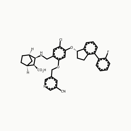 N#Cc1cncc(COc2cc(O[C@H]3CCc4c(-c5ccccc5F)cccc43)c(Cl)cc2CN[C@@H]2[C@@H]3CC[C@@H](C3)[C@@H]2C(=O)O)c1